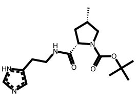 C[C@H]1C[C@@H](C(=O)NCCc2cnc[nH]2)N(C(=O)OC(C)(C)C)C1